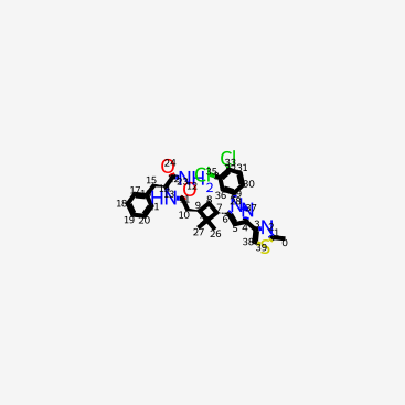 Cc1nc(-c2cc([C@H]3C[C@H](CC(=O)N[C@@H](Cc4ccccc4)C(N)=O)C3(C)C)n(-c3ccc(Cl)c(Cl)c3)n2)cs1